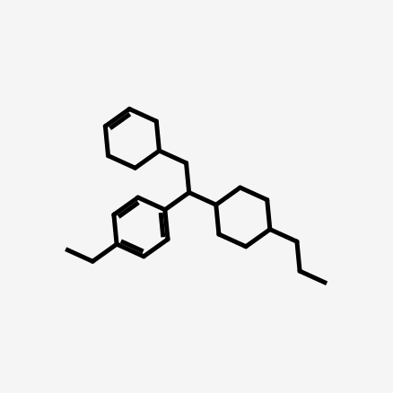 CCCC1CCC(C(CC2CC=CCC2)c2ccc(CC)cc2)CC1